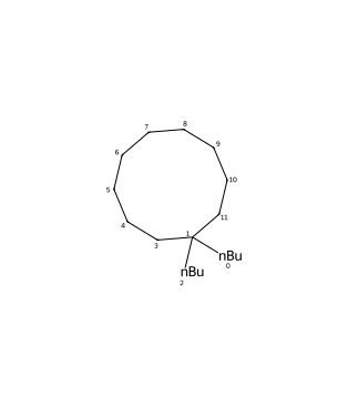 CCCCC1(CCCC)CCCCCCCCC1